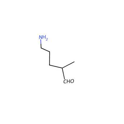 CC(C=O)CCCN